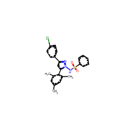 Cc1cc(C)c(-c2cc(-c3ccc(Cl)cc3)nn2NS(=O)(=O)c2ccccc2)c(C)c1